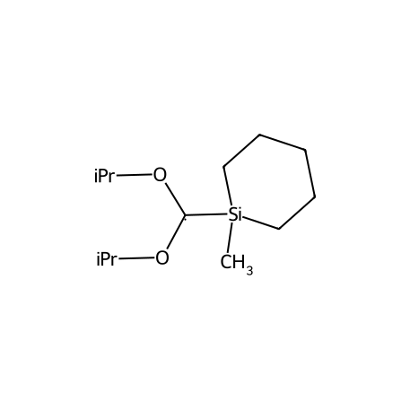 CC(C)O[C](OC(C)C)[Si]1(C)CCCCC1